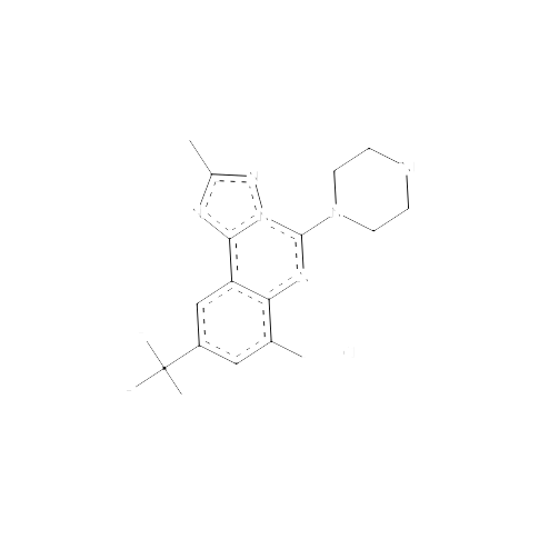 Cc1nc2c3cc(C(F)(F)F)cc(F)c3nc(N3CCNCC3)n2n1.Cl